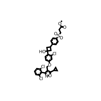 COC(=O)CCS(=O)(=O)c1ccc(C2CC(O)(c3ccc(OCc4c(-c5c(Cl)cccc5Cl)noc4C4CC4)cc3Cl)C2)cc1